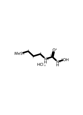 CSCCCNC(=O)NO.Cl